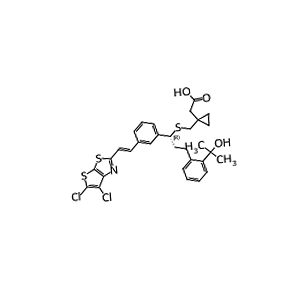 CC(C)(O)c1ccccc1CC[C@@H](SCC1(CC(=O)O)CC1)c1cccc(C=Cc2nc3c(Cl)c(Cl)sc3s2)c1